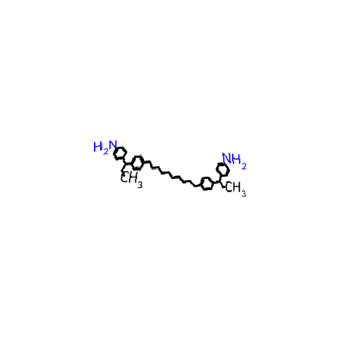 CCC(c1ccc(N)cc1)c1ccc(CCCCCCCCCCc2ccc(C(CC)c3ccc(N)cc3)cc2)cc1